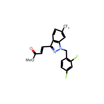 COC(=O)/C=C/c1nn(Cc2ccc(F)cc2F)c2cc(C(F)(F)F)ccc12